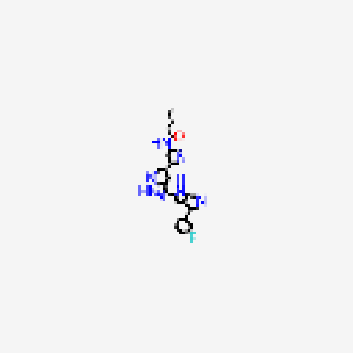 CCCCC(=O)Nc1cncc(-c2cnc3[nH]nc(-c4cc5c(-c6cccc(F)c6)cncc5[nH]4)c3c2)c1